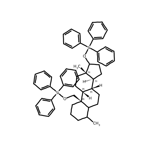 CC1CCC[C@@]2(CO[Si](c3ccccc3)(c3ccccc3)c3ccccc3)C1CC[C@@H]1[C@H]2CC[C@]2(C)C(O[Si](c3ccccc3)(c3ccccc3)c3ccccc3)CC[C@@H]12